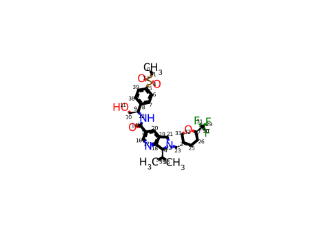 CCS(=O)(=O)c1ccc([C@H](CO)NC(=O)c2cnc3c(c2)CN(C[C@H]2CC[C@H](C(F)(F)F)OC2)[C@H]3C(C)C)cc1